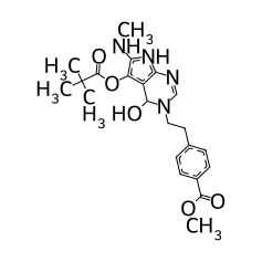 CNc1[nH]c2c(c1OC(=O)C(C)(C)C)C(O)N(CCc1ccc(C(=O)OC)cc1)C=N2